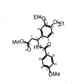 CCOc1ccc(C(CC(=O)OC)NC(=O)c2ccc(OC)cc2)cc1OCC